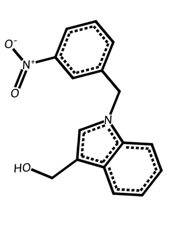 O=[N+]([O-])c1cccc(Cn2cc(CO)c3ccccc32)c1